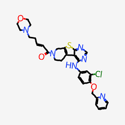 O=C(C=CCCN1CCOCC1)N1CCc2c(sc3ncnc(Nc4ccc(OCc5ccccn5)c(Cl)c4)c23)C1